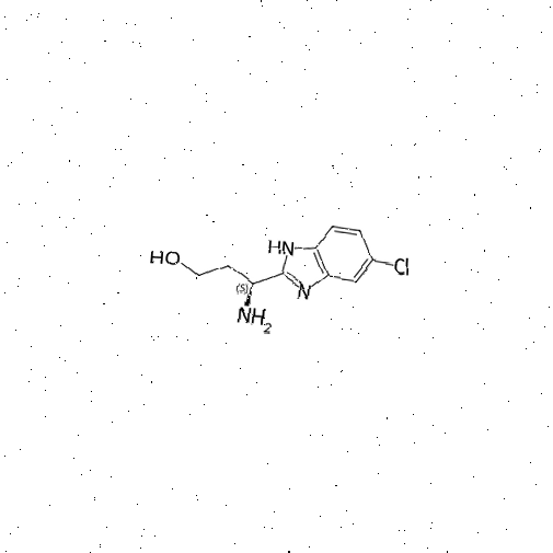 N[C@@H](CCO)c1nc2cc(Cl)ccc2[nH]1